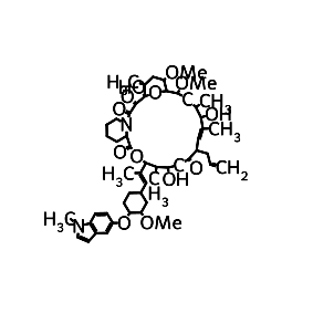 C=CCC1/C=C(\C)C(O)C(C)CC(OC)C2OC(O)(C(=O)C(=O)N3CCCCC3C(=O)OC(C(C)=CC3CCC(Oc4ccc5c(ccn5C)c4)C(OC)C3)C(C)C(O)CC1=O)C(C)CC2OC